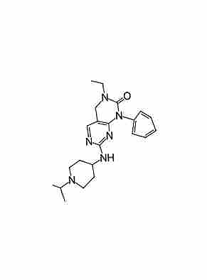 CCN1Cc2cnc(NC3CCN(C(C)C)CC3)nc2N(c2ccccc2)C1=O